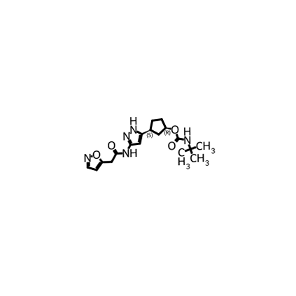 CC(C)(C)NC(=O)O[C@@H]1CC[C@H](c2cc(NC(=O)Cc3ccno3)n[nH]2)C1